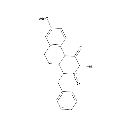 CCC1C(=O)C2c3ccc(OC)cc3CCC2C(Cc2ccccc2)[N+]1=O